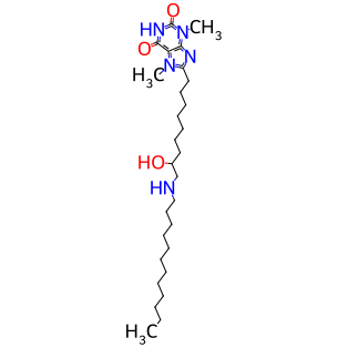 CCCCCCCCCCCCNCC(O)CCCCCCCc1nc2c(c(=O)[nH]c(=O)n2C)n1C